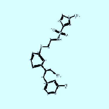 Cn1cnc(S(=O)(=O)NCCOc2cccc(C(CN)Cc3cccc(Cl)c3)c2)c1